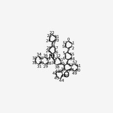 c1ccc(-c2ccc(-c3c(-c4ccc(N(c5ccc(-c6ccccc6)cc5)c5ccc6ccccc6c5)cc4)c4c5ccccc5oc4c4ccccc34)cc2)cc1